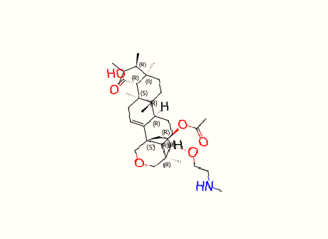 CNCCO[C@H]1[C@H](OC(C)=O)C[C@]23COC[C@@]1(C)[C@@H]2CC[C@H]1C3=CC[C@@]2(C)[C@H](C(=O)O)[C@@](C)([C@H](C)C(C)C)CC[C@]12C